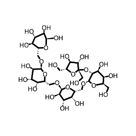 OC[C@H]1O[C@H](OC[C@H]2O[C@H](OC[C@H]3O[C@H](OC[C@H]4O[C@H](O)[C@H](O)[C@@H](O)[C@@H]4O)[C@H](O)[C@@H](O)[C@H]3O)[C@H](O)[C@@H](O)[C@H]2O)[C@H](O[C@]2(CO)O[C@H](CO)[C@@H](O)[C@@H]2O)[C@@H](O)[C@H]1O